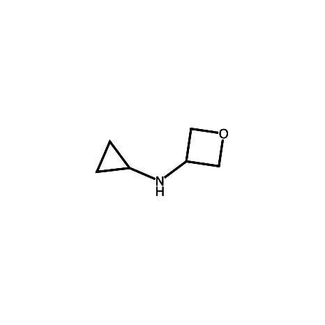 C1CC1NC1COC1